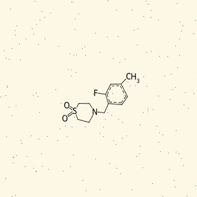 Cc1ccc(CN2CCS(=O)(=O)CC2)c(F)c1